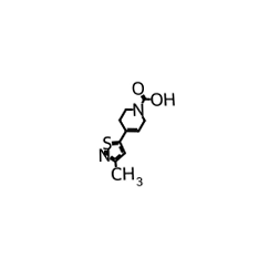 Cc1cc(C2=CCN(C(=O)O)CC2)sn1